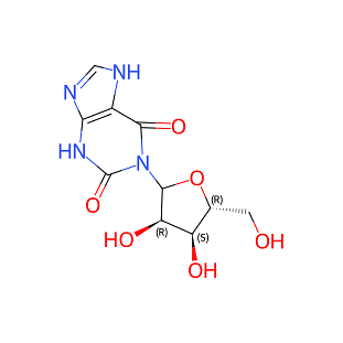 O=c1[nH]c2nc[nH]c2c(=O)n1C1O[C@H](CO)[C@@H](O)[C@H]1O